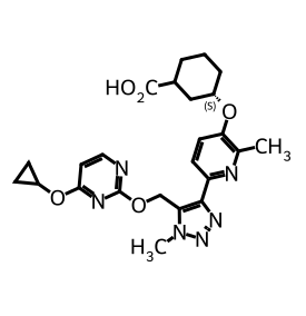 Cc1nc(-c2nnn(C)c2COc2nccc(OC3CC3)n2)ccc1O[C@H]1CCCC(C(=O)O)C1